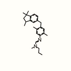 CCCN(C)C=Nc1cc(C)c(Cc2ccc3c(c2)C(C)CC3(C)C)cc1C